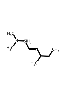 CCC(C)C=C[SiH2]N(C)C